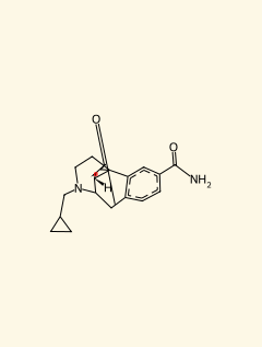 NC(=O)c1ccc2c(c1)C13CCN(CC4CC4)C(C2)[C@@H]1CCC(=O)C3